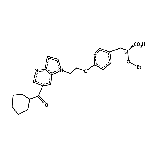 CCO[C@@H](Cc1ccc(OCCn2ccc3ncc(C(=O)C4CCCCC4)cc32)cc1)C(=O)O